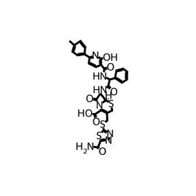 Cc1ccc(-c2ccc(C(=O)NC(C(=O)NC3C(=O)N4C(C(=O)O)=C(CSc5nnc(C(N)=O)s5)CS[C@@H]34)c3ccccc3)c(O)n2)cc1